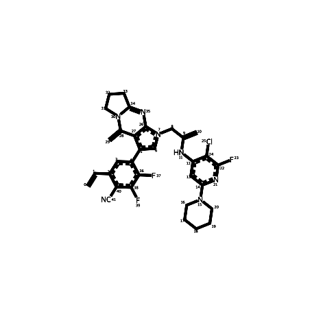 C=Cc1cc(-c2cn(CC(=C)Nc3cc(N4CCCCC4)nc(F)c3Cl)c3c2C(=C)N2CCCC2=N3)c(F)c(F)c1C#N